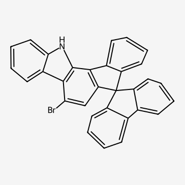 Brc1cc2c(c3[nH]c4ccccc4c13)-c1ccccc1C21c2ccccc2-c2ccccc21